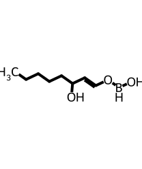 CCCCCC(O)/C=C/OBO